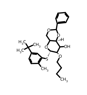 CCCCO[C@H]1C(O)[C@@H]2OC(c3ccccc3)OCC2O[C@H]1Sc1cc(C(C)(C)C)ccc1C